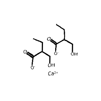 CCC(CO)C(=O)[O-].CCC(CO)C(=O)[O-].[Ca+2]